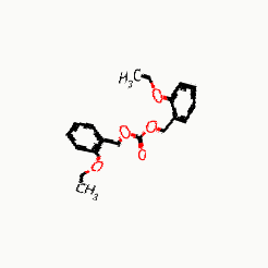 CCOc1ccccc1COC(=O)OCc1ccccc1OCC